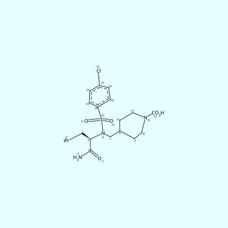 CC(C)C[C@H](C(N)=O)N(CC1CCN(C(=O)O)CC1)S(=O)(=O)c1ccc(Cl)cc1